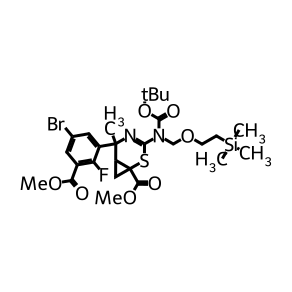 COC(=O)c1cc(Br)cc(C2(C)N=C(N(COCC[Si](C)(C)C)C(=O)OC(C)(C)C)SC3(C(=O)OC)CC32)c1F